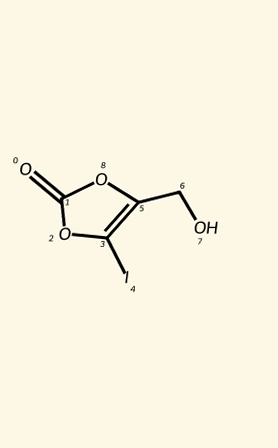 O=c1oc(I)c(CO)o1